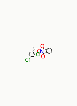 CC(CON1C(=O)c2ccccc2C1=O)c1ccc(Cl)cc1Cl